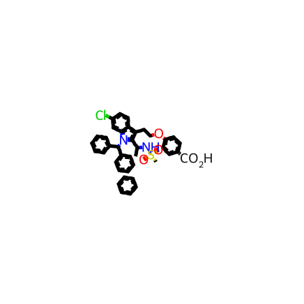 CC(NS(C)(=O)=O)c1c(CCOc2ccc(C(=O)O)cc2)c2ccc(Cl)cc2n1C(c1ccccc1)c1ccccc1.c1ccccc1